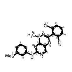 CSc1cccc(Nc2ncc3c(n2)N(C)N=C(c2c(Cl)cccc2Cl)O3)c1